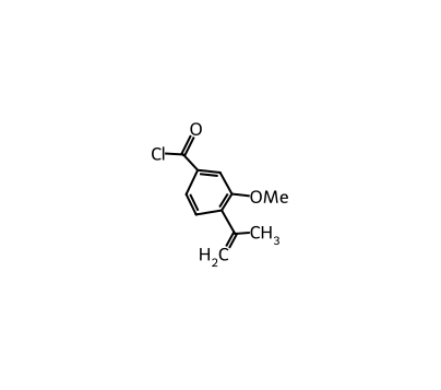 C=C(C)c1ccc(C(=O)Cl)cc1OC